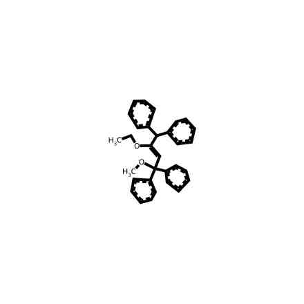 CCOC(=CC(OC)(c1ccccc1)c1ccccc1)C(c1ccccc1)c1ccccc1